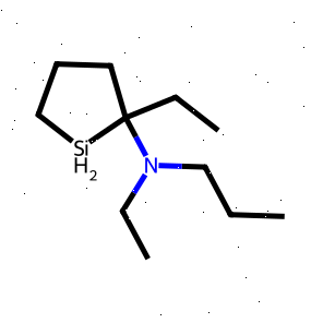 CCCN(CC)C1(CC)CCC[SiH2]1